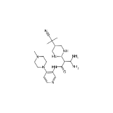 CN1CCN(c2ccncc2NC(=O)C(C(N)N)C2NCC(C(C)(C)C#N)CN2)CC1